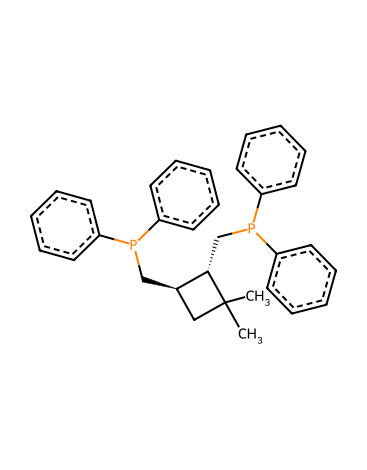 CC1(C)C[C@@H](CP(c2ccccc2)c2ccccc2)[C@@H]1CP(c1ccccc1)c1ccccc1